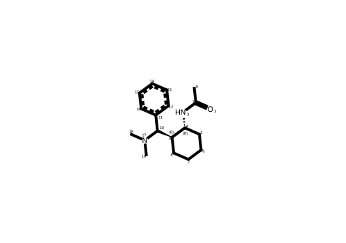 CC(=O)N[C@@H]1CCCC[C@H]1C(c1ccccc1)N(C)C